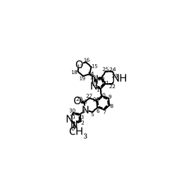 Cn1cc(N2Cc3cccc(-c4nn(C5CCOCC5)c5c4CNCC5)c3CC2=O)cn1